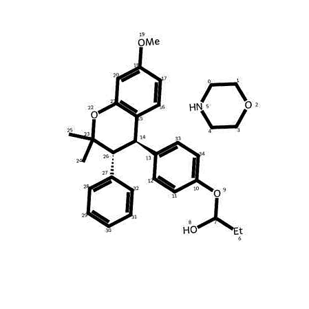 C1COCCN1.CCC(O)Oc1ccc([C@@H]2c3ccc(OC)cc3OC(C)(C)[C@H]2c2ccccc2)cc1